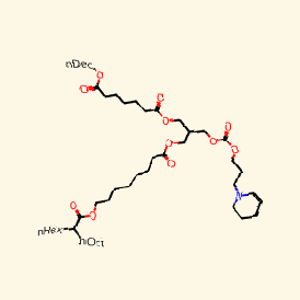 CCCCCCCCCCOC(=O)CCCCCC(=O)OCC(COC(=O)CCCCCCCOC(=O)C(CCCCCC)CCCCCCCC)COC(=O)OCCCN1CCCCC1